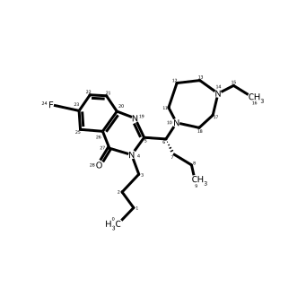 CCCCn1c([C@@H](CCC)N2CCCN(CC)CC2)nc2ccc(F)cc2c1=O